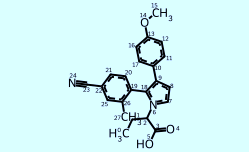 CCC(C(=O)O)n1ccc(-c2ccc(OC)cc2)c1-c1ccc(C#N)cc1C